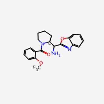 NC(c1nc2ccccc2o1)[C@@H]1CCCCN1C(=O)c1ccccc1OC(F)(F)F